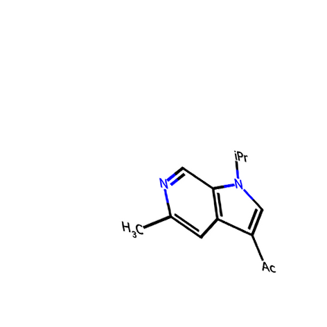 CC(=O)c1cn(C(C)C)c2cnc(C)cc12